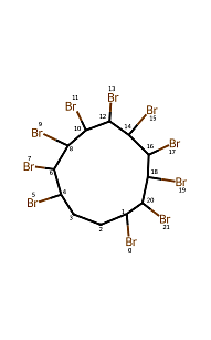 BrC1CCC(Br)C(Br)C(Br)C(Br)C(Br)C(Br)C(Br)C(Br)C1Br